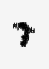 C[C@]12CC(N3CCN(C(=O)[C@@H]4CCCN4C(=O)c4ccc5ncccc5c4)CC3)C(O)CC1CC[C@@H]1[C@H]2CC[C@]2(C)C(O)CC[C@@H]12